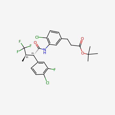 C[C@H]([C@H](C(=O)Nc1cc(CCC(=O)OC(C)(C)C)ccc1Cl)c1ccc(Cl)c(F)c1)C(F)(F)F